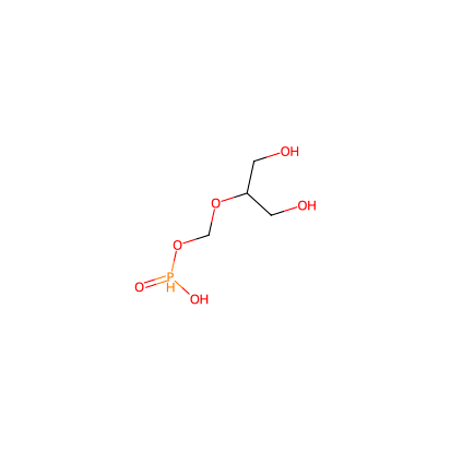 O=[PH](O)OCOC(CO)CO